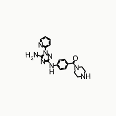 Nc1nc(Nc2ccc(C(=O)N3CCNCC3)cc2)nn1-c1ccccn1